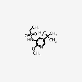 CCS(=O)(=O)Nc1cc(C(C)(C)C)cnc1OC